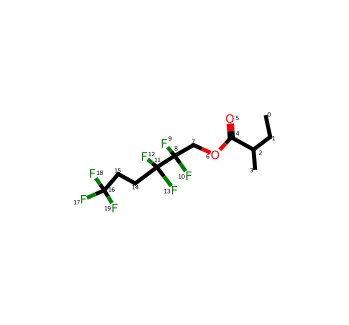 CCC(C)C(=O)OCC(F)(F)C(F)(F)CCC(F)(F)F